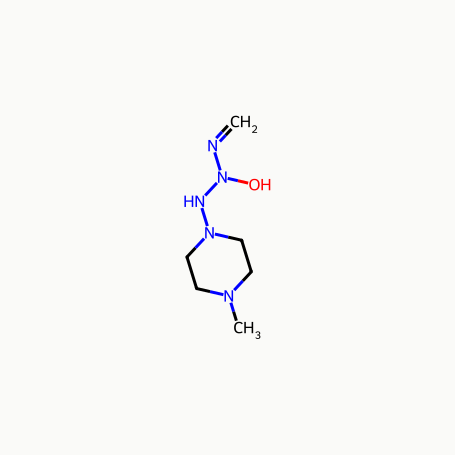 C=NN(O)NN1CCN(C)CC1